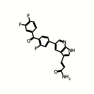 NC(=O)/C=C/c1c[nH]c2ncc(-c3ccc(C(=O)c4ccc(F)c(F)c4)c(F)c3)cc12